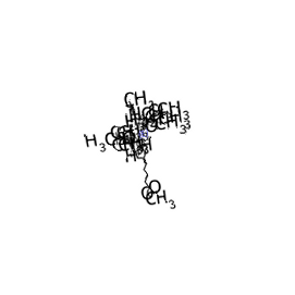 CC#CC[C@H](C)[C@@H](/C=C/[C@@H]1[C@H]2CC(=CCCCC(=O)OC)C[C@H]2C[C@H]1O[Si](C)(C)C(C)(C)C)O[Si](C)(C)C(C)(C)C